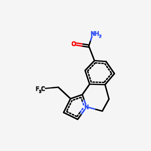 NC(=O)c1ccc2c(c1)-c1c(CC(F)(F)F)ccn1CC2